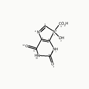 O=C(O)[N+]1(O)C=Nc2c1[nH]c(=O)[nH]c2=O